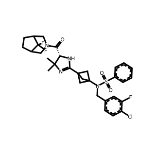 CC1(C)N=C(C23CC(N(Cc4ccc(Cl)c(F)c4)S(=O)(=O)c4ccccc4)(C2)C3)N[C@H]1C(=O)N1CC2CCC(C1)C2(F)F